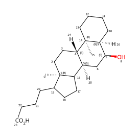 C[C@]12CC[C@H]3[C@@H](C[C@H](O)[C@@H]4CCCC[C@@]43C)C1CCC2CCCC(=O)O